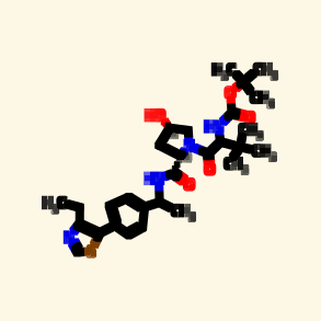 CCc1ncsc1-c1ccc(C(C)NC(=O)[C@@H]2C[C@@H](O)CN2C(=O)C(NC(=O)OC(C)(C)C)C(C)(C)C)cc1